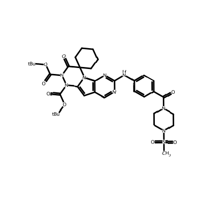 CC(C)(C)OC(=O)N1C(=O)C2(CCCCC2)n2c(cc3cnc(Nc4ccc(C(=O)N5CCN(S(C)(=O)=O)CC5)cc4)nc32)N1C(=O)OC(C)(C)C